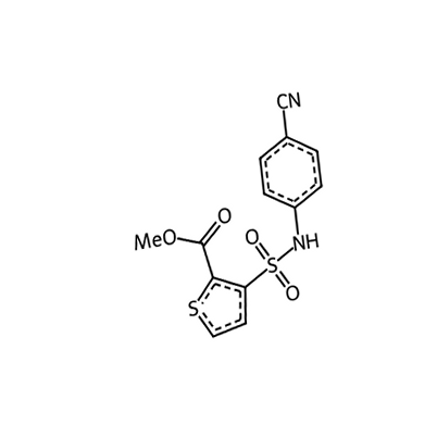 COC(=O)c1sccc1S(=O)(=O)Nc1ccc(C#N)cc1